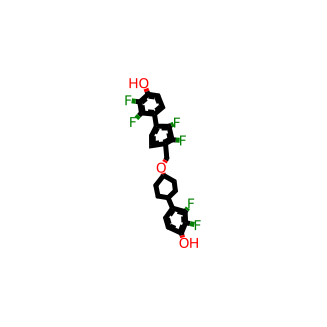 Oc1ccc(-c2ccc(COC3CCC(c4ccc(O)c(F)c4F)CC3)c(F)c2F)c(F)c1F